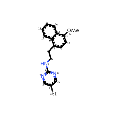 CCc1cnc(NCCc2ccc(OC)c3ccccc23)nc1